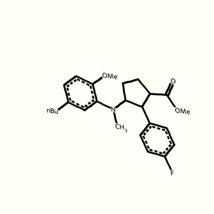 CCCCc1ccc(OC)c(N(C)C2CCC(C(=O)OC)C2c2ccc(F)cc2)c1